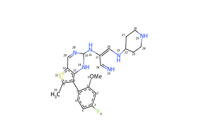 COc1cc(F)ccc1-c1c(C)sc2c1NC(N/C(C=N)=C/NC1CCNCC1)N=C2